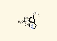 Cc1cc2c(c(C(C)(C)C)c1)CNCC2